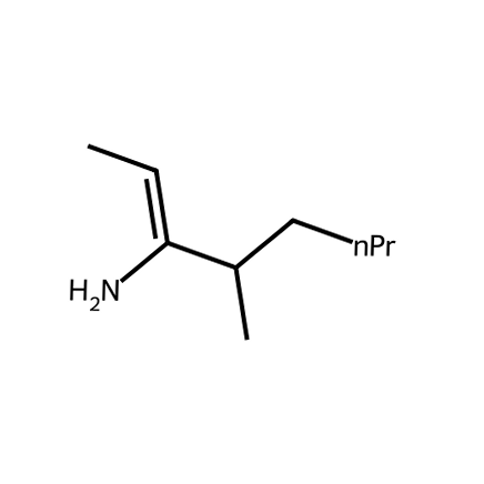 C/C=C(\N)C(C)CCCC